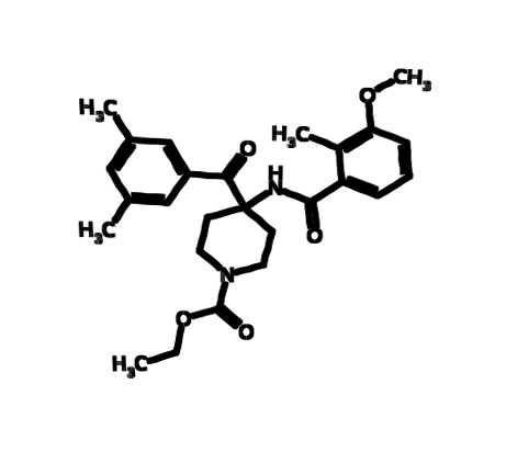 CCOC(=O)N1CCC(NC(=O)c2cccc(OC)c2C)(C(=O)c2cc(C)cc(C)c2)CC1